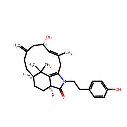 C=C1CC[C@@H]2CC[C@@H]3C(=O)N(CCc4ccc(O)cc4)C(=C3C2(C)C)C/C(C)=C/[C@@H](O)C1